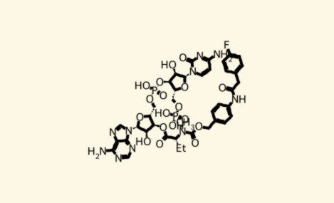 CC[C@H](C(=O)O[C@H]1[C@@H](O)[C@H](n2cnc3c(N)ncnc32)O[C@@H]1COP(=O)(O)O[C@H]1[C@@H](O)[C@H](n2ccc(N)nc2=O)O[C@@H]1COP(=O)(O)O)N(C)C(=O)OCc1ccc(NC(=O)Cc2ccc(F)cc2)cc1